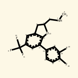 CNCC1Cc2cc(C(F)(F)F)cc(-c3ccc(F)c(F)c3)c2O1